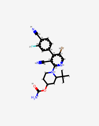 CC(C)(C)C1CC(OC(N)=O)CCN1c1ncc(Br)c(-c2ccc(C#N)c(F)c2)c1C#N